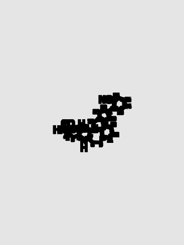 CC(C)(CC(=O)N[C@@H]1CCc2ccccc2N(Cc2ccc(-c3ccccc3C#N)cc2)C1=O)NC(=O)O